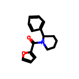 O=C(c1ccco1)N1CCCCC1c1ccccc1